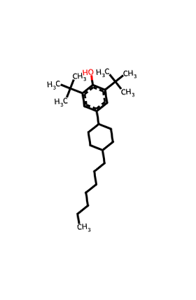 CCCCCCCC1CCC(c2cc(C(C)(C)C)c(O)c(C(C)(C)C)c2)CC1